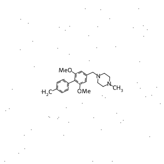 [CH2]c1ccc(-c2c(OC)cc(CN3CCN(C)CC3)cc2OC)cc1